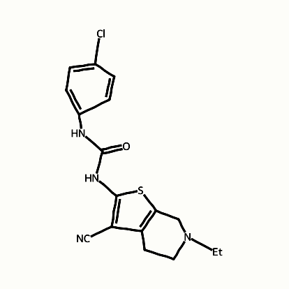 CCN1CCc2c(sc(NC(=O)Nc3ccc(Cl)cc3)c2C#N)C1